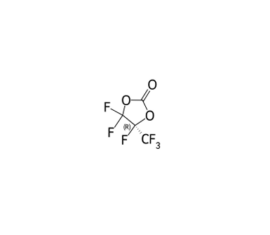 O=C1OC(F)(F)[C@@](F)(C(F)(F)F)O1